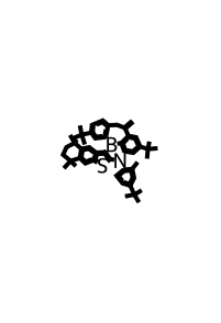 C=C1Cc2ccc(C(C)(C)C)cc2B2c3c1cc(C(C)(C)C)cc3N(c1ccc(C(C)(C)C)cc1C)c1sc3cc4c(cc3c12)C(C)(C)CCC4(C)C